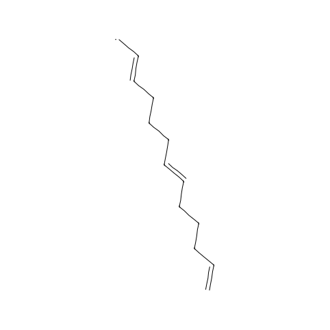 [CH2]C=CCCCC=CCCCC=C